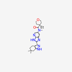 CCC1(C(=O)N(C)c2cnc3[nH]c(-c4n[nH]c5c4CCC(C)(C)C5)nc3c2)CCOCC1